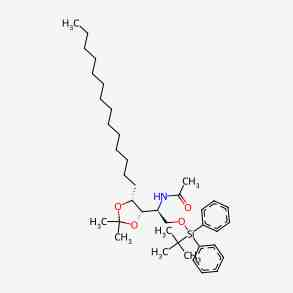 CCCCCCCCCCCCCC[C@H]1OC(C)(C)O[C@H]1[C@H](CO[Si](c1ccccc1)(c1ccccc1)C(C)(C)C)NC(C)=O